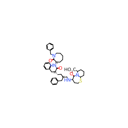 O=C(O)C1CCCC2SCCC(NC[C@H](CC[C@H](Cc3ccccc3)C(=O)N[C@H]3CCCCCN(Cc4ccccc4)C3=O)Cc3ccccc3)C(=O)N21